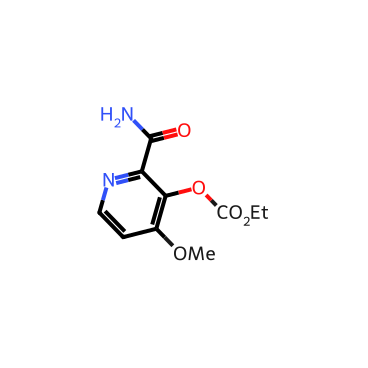 CCOC(=O)Oc1c(OC)ccnc1C(N)=O